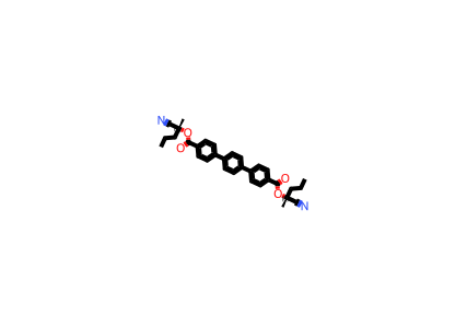 CCC[C@](C)(C#N)OC(=O)c1ccc(-c2ccc(-c3ccc(C(=O)O[C@@](C)(C#N)CCC)cc3)cc2)cc1